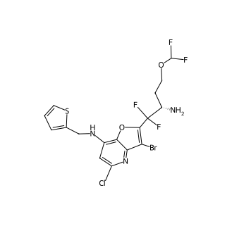 N[C@@H](CCOC(F)F)C(F)(F)c1oc2c(NCc3cccs3)cc(Cl)nc2c1Br